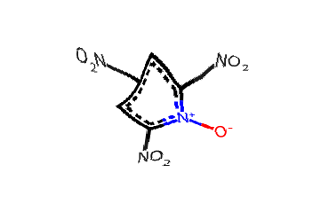 O=[N+]([O-])c1cc([N+](=O)[O-])[n+]([O-])c([N+](=O)[O-])c1